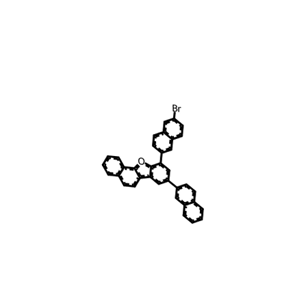 Brc1ccc2cc(-c3cc(-c4ccc5ccccc5c4)cc4c3oc3c5ccccc5ccc43)ccc2c1